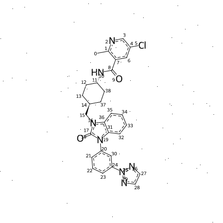 Cc1ncc(Cl)cc1C(=O)N[C@H]1CC[C@H](Cn2c(=O)n(-c3cccc(-n4nccn4)c3)c3ccccc32)CC1